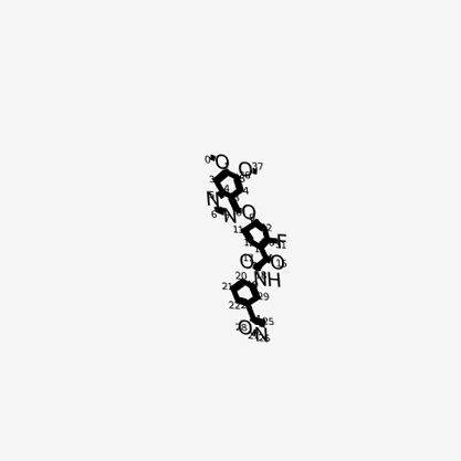 COc1cc2ncnc(Oc3ccc(C(=O)C(=O)Nc4cccc(-c5cnco5)c4)c(F)c3)c2cc1OC